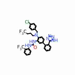 O=C(Nc1cc(-c2ccccc2-c2nnn[nH]2)ccc1N(CCCC(F)(F)F)Cc1ccc(Cl)cc1)Nc1ccccc1C(F)(F)F